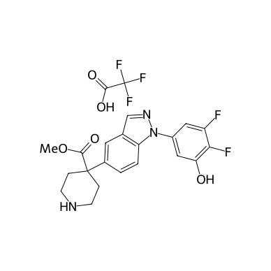 COC(=O)C1(c2ccc3c(cnn3-c3cc(O)c(F)c(F)c3)c2)CCNCC1.O=C(O)C(F)(F)F